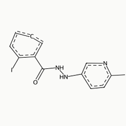 Cc1ccc(NNC(=O)c2ccccc2I)cn1